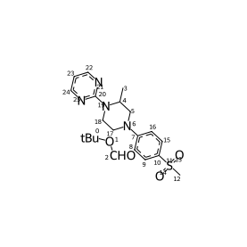 CC(C)(C)OC=O.CC1CN(c2ccc(S(C)(=O)=O)cc2)CCN1c1ncccn1